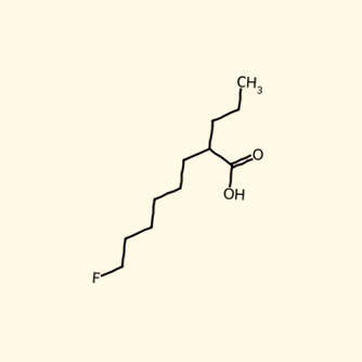 CCCC(CCCCCCF)C(=O)O